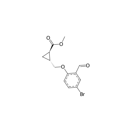 COC(=O)[C@@H]1C[C@H]1COc1ccc(Br)cc1C=O